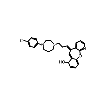 OC1C=CC=C2Oc3ncccc3C(=CCCN3CCCN(c4ccc(Cl)cc4)CC3)C=C21